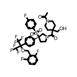 CC(=O)N1CCC(CO)(C(=O)N2CC[C@](c3ccc(C(OCc4c(F)cccc4F)(C(F)(F)F)C(F)(F)F)cc3)(S(=O)(=O)c3ccc(F)cc3)C2)CC1